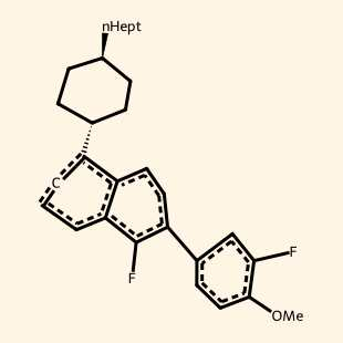 CCCCCCC[C@H]1CC[C@H](c2cccc3c(F)c(-c4ccc(OC)c(F)c4)ccc32)CC1